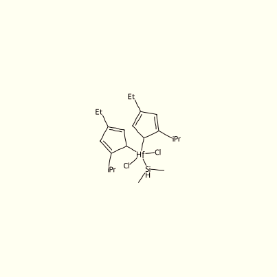 CCC1=C[CH]([Hf]([Cl])([Cl])([CH]2C=C(CC)C=C2C(C)C)[SiH](C)C)C(C(C)C)=C1